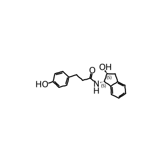 O=C(CCc1ccc(O)cc1)N[C@H]1c2ccccc2C[C@@H]1O